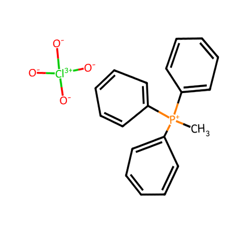 C[P+](c1ccccc1)(c1ccccc1)c1ccccc1.[O-][Cl+3]([O-])([O-])[O-]